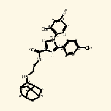 O=C(NCCNC1C2CC3CC(C2)CC1C3)c1cn(-c2ccc(Cl)cc2Cl)c(-c2ccc(Cl)cc2)n1